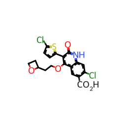 O=C(O)c1cc2c(OCCC3CCO3)c(-c3ccc(Cl)s3)c(=O)[nH]c2cc1Cl